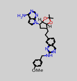 COc1ccc(CNc2ncc3ccc(CCC4C[C@@H](n5ccc6c(N)ncnc65)[C@@H]5OC(C)(C)O[C@H]45)cc3n2)cc1